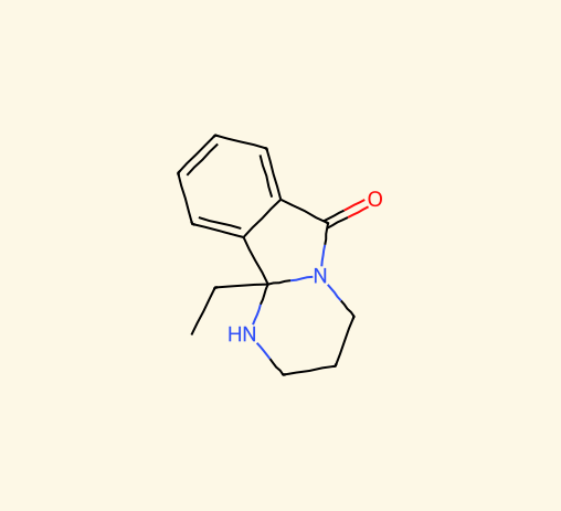 CCC12NCCCN1C(=O)c1ccccc12